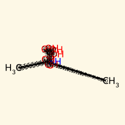 CC#CC#CC#CC#CC#CC#CC#CC#CC#CC#CC#CC#CC(=O)N[C@@H](CO[C@H]1CC(CO)[C@H](O)[C@H](O)C1O)[C@H](O)[C@H](O)CCCCCCCCCCCCCC